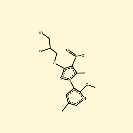 COc1ncc(C)cc1-n1nc(OCC(F)CO)c([N+](=O)[O-])c1C